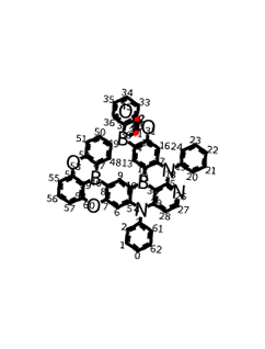 c1ccc(N2c3cc4c(cc3B3c5cc6c(cc5N(c5ccccc5)c5nccc2c53)Oc2cccc3c2B6c2ccccc2O3)B2c3ccccc3Oc3cccc(c32)O4)cc1